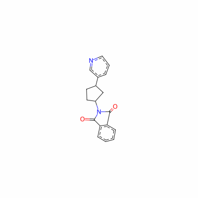 O=C1c2ccccc2C(=O)N1C1CCC(c2cccnc2)C1